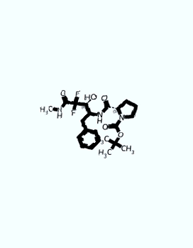 CNC(=O)C(F)(F)[C@H](O)C(Cc1ccccc1)NC(=O)[C@@H]1CCCN1C(=O)OC(C)(C)C